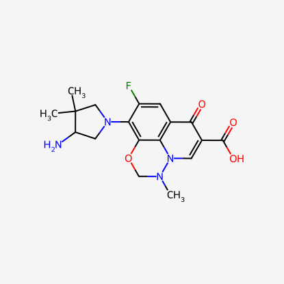 CN1COc2c(N3CC(N)C(C)(C)C3)c(F)cc3c(=O)c(C(=O)O)cn1c23